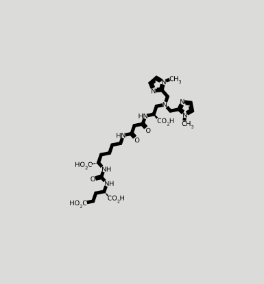 Cn1ccnc1CN(Cc1nccn1C)C[C@H](NC(=O)CC(=O)NCCCC[C@H](NC(=O)N[C@@H](CCC(=O)O)C(=O)O)C(=O)O)C(=O)O